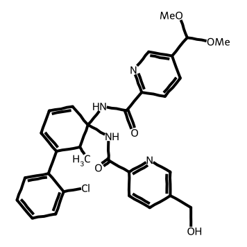 COC(OC)c1ccc(C(=O)NC2(NC(=O)c3ccc(CO)cn3)C=CC=C(c3ccccc3Cl)C2C)nc1